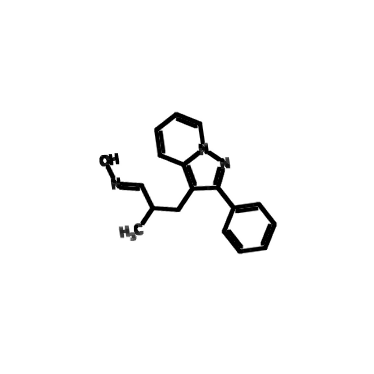 CC(C=NO)Cc1c(-c2ccccc2)nn2ccccc12